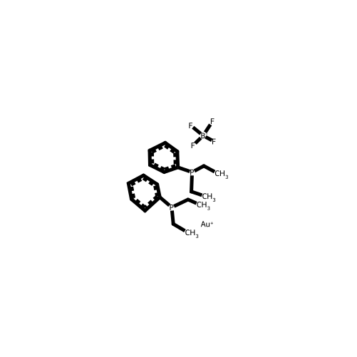 CCP(CC)c1ccccc1.CCP(CC)c1ccccc1.F[B-](F)(F)F.[Au+]